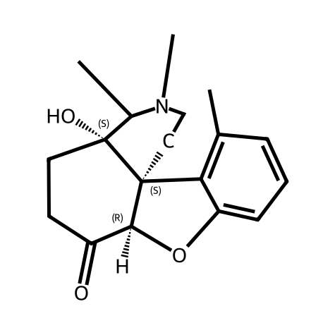 Cc1cccc2c1[C@]13CCN(C)C(C)[C@]1(O)CCC(=O)[C@@H]3O2